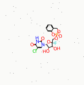 O=c1[nH]c(=O)n([C@@H]2O[C@](F)(COP3(=O)OCc4ccccc4O3)[C@@H](O)[C@H]2O)cc1Cl